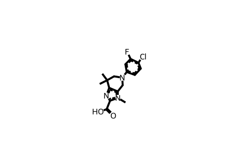 Cn1c(C(=O)O)nc2c1CN(c1ccc(Cl)c(F)c1)CC2(C)C